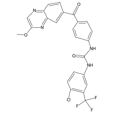 COc1cnc2ccc(C(=O)c3ccc(NC(=O)Nc4ccc(Cl)c(C(F)(F)F)c4)cc3)cc2n1